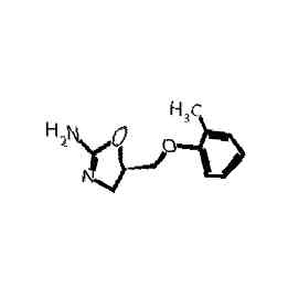 Cc1ccccc1OC[C@H]1CN=C(N)O1